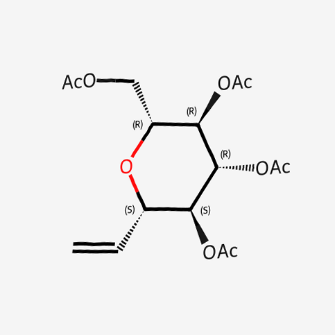 C=C[C@@H]1O[C@H](COC(C)=O)[C@@H](OC(C)=O)[C@H](OC(C)=O)[C@H]1OC(C)=O